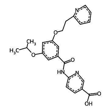 CC(C)Oc1cc(OCCc2ccccn2)cc(C(=O)Nc2ccc(C(=O)O)cn2)c1